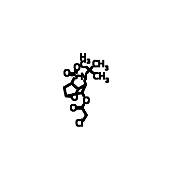 CC(C)(C)N1C2C(OC(=O)CCl)C3CC(C2O3)S1(=O)=O